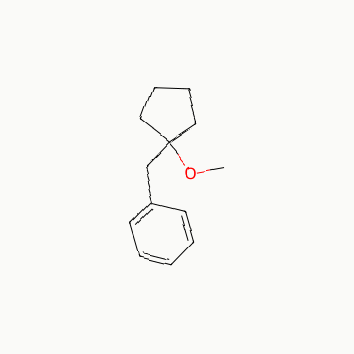 COC1(Cc2ccccc2)CCCC1